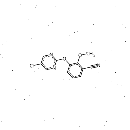 COc1c(C#N)cccc1Oc1ncc(Cl)cn1